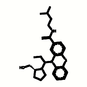 CCC(N1c2ccccc2Sc2ccc(C(=S)NCCC(C)C)cc21)N1CCC[C@@H]1CO